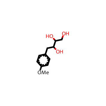 COc1ccc(CC(O)C(O)CO)cc1